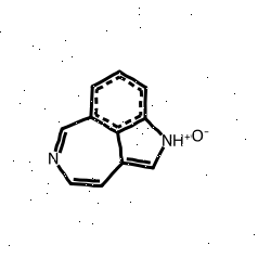 [O-][NH+]1C=C2C=CN=Cc3cccc1c32